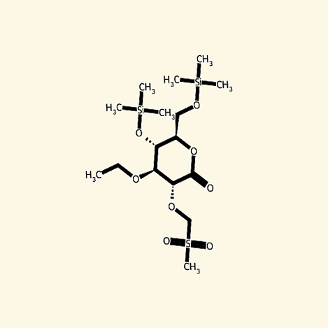 CCO[C@H]1[C@H](O[Si](C)(C)C)[C@@H](CO[Si](C)(C)C)OC(=O)[C@@H]1OCS(C)(=O)=O